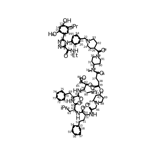 CCNC(=O)c1nnc(-c2cc(C(C)C)c(O)cc2O)n1-c1ccc(CN2CCC(C(=O)N3CCC(N(C)C(=O)CCC(=O)OC4CCN(CC(=O)N[C@@H](CCc5ccccc5)C(=O)N[C@@H](CC(C)C)C(=O)N[C@@H](Cc5ccccc5)C(=O)N[C@@H](CC(C)C)C(=O)[C@@]5(C)CO5)CC4)CC3)CC2)cc1